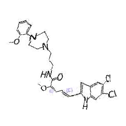 CO/C(=C/C=C/c1cc2cc(Cl)c(Cl)cc2[nH]1)C(=O)NCCCN1CCN(c2ccccc2OC)CC1